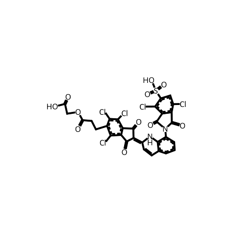 O=C(O)COC(=O)CCc1c(Cl)c(Cl)c2c(c1Cl)C(=O)/C(=C1\C=Cc3cccc(N4C(=O)c5c(Cl)cc(S(=O)(=O)O)c(Cl)c5C4=O)c3N1)C2=O